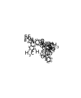 Cc1ccc(-c2cc(C(F)(F)F)nn2-c2ccc(S(=O)(=O)NC(=O)C(C)(C)N(C)/[N+]([O-])=N\OC(C)N3C(=O)c4ccccc4C3=O)cc2)cc1